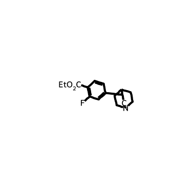 CCOC(=O)c1ccc(C2CN3CCC2CC3)cc1F